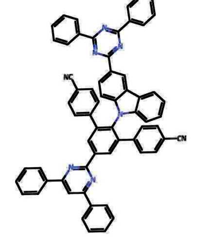 N#Cc1ccc(-c2cc(-c3nc(-c4ccccc4)cc(-c4ccccc4)n3)cc(-c3ccc(C#N)cc3)c2-n2c3ccccc3c3cc(-c4nc(-c5ccccc5)nc(-c5ccccc5)n4)ccc32)cc1